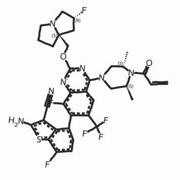 C=CC(=O)N1[C@@H](C)CN(c2nc(OC[C@@]34CCCN3C[C@H](F)C4)nc3c(F)c(-c4ccc(F)c5sc(N)c(C#N)c45)c(C(F)(F)F)cc23)C[C@@H]1C